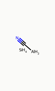 N#[C][AlH2].[SiH4]